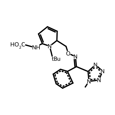 Cn1nnnc1C(=NOCC1C=CC=C(NC(=O)O)N1C(C)(C)C)c1ccccc1